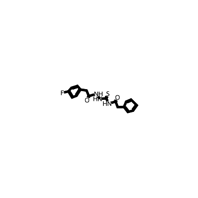 O=C(Cc1ccc(F)cc1)NNC(=S)NC(=O)Cc1ccccc1